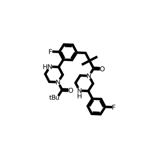 CC(C)(C)C(=O)N1CCNC(c2cc(CC(C)(C)C(=O)N3CCNC(c4cccc(F)c4)C3)ccc2F)C1